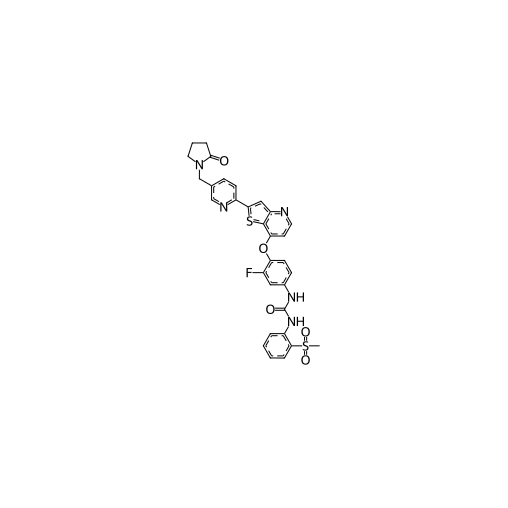 CS(=O)(=O)c1ccccc1NC(=O)Nc1ccc(Oc2ccnc3cc(-c4ccc(CN5CCCC5=O)cn4)sc23)c(F)c1